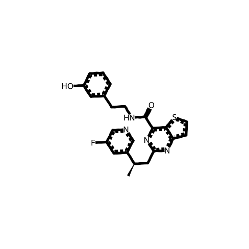 C[C@H](Cc1nc(C(=O)NCCc2cccc(O)c2)c2sccc2n1)c1cncc(F)c1